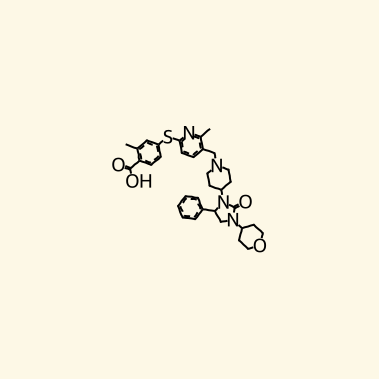 Cc1cc(Sc2ccc(CN3CCC(N4C(=O)N(C5CCOCC5)CC4c4ccccc4)CC3)c(C)n2)ccc1C(=O)O